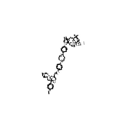 CC(C)(C)C(Cn1ncn(-c2ccc(N3CCN(c4ccc(OCC5COC(Cn6cncn6)(c6ccc(F)cc6)O5)cc4)CC3)cc2)c1=O)OP(=O)(O)O